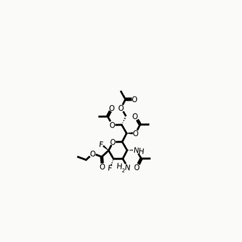 CCOC(=O)[C@]1(F)OC([C@H](OC(C)=O)[C@@H](COC(C)=O)OC(C)=O)[C@H](NC(C)=O)C(N)[C@@H]1F